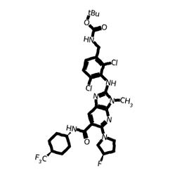 Cn1c(Nc2c(Cl)ccc(CNC(=O)OC(C)(C)C)c2Cl)nc2cc(C(=O)N[C@H]3CC[C@H](C(F)(F)F)CC3)c(N3CC[C@@H](F)C3)nc21